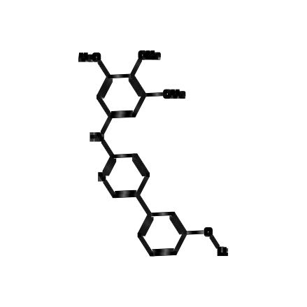 CCOc1cccc(-c2ccc(Nc3cc(OC)c(OC)c(OC)c3)nc2)c1